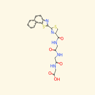 O=C(O)CNC(=O)CNC(=O)CNC(=O)C1CSC(c2nc3ccc4ccccc4c3s2)=N1